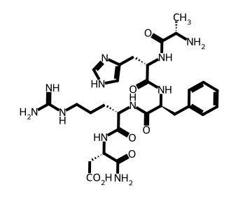 C[C@H](N)C(=O)N[C@@H](Cc1c[nH]cn1)C(=O)N[C@@H](Cc1ccccc1)C(=O)N[C@@H](CCCNC(=N)N)C(=O)N[C@@H](CC(=O)O)C(N)=O